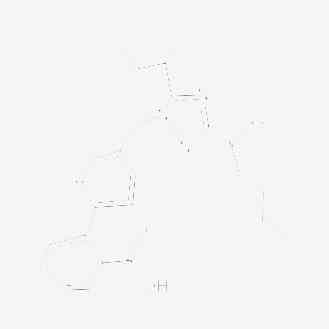 CCCCC(=O)c1nc(C(C)CC)n(Cc2ccc(-c3ccccc3C(=O)O)cc2)n1